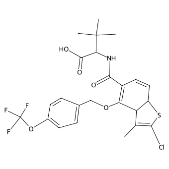 CC1=C(Cl)SC2C=CC(C(=O)NC(C(=O)O)C(C)(C)C)=C(OCc3ccc(OC(F)(F)F)cc3)C12